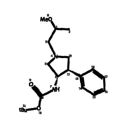 COC(C)CN1C[C@@H](NC(=O)OC(C)(C)C)[C@H](c2ccccc2)C1